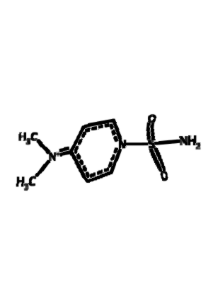 C[N+](C)=c1ccn(S(N)(=O)=O)cc1